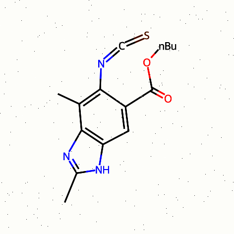 CCCCOC(=O)c1cc2[nH]c(C)nc2c(C)c1N=C=S